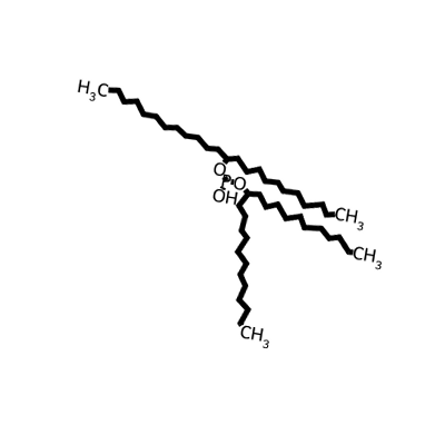 CCCCCCCCCCCCC(CCCCCCCCCCC)OP(O)OC(CCCCCCCCCCC)CCCCCCCCCCCC